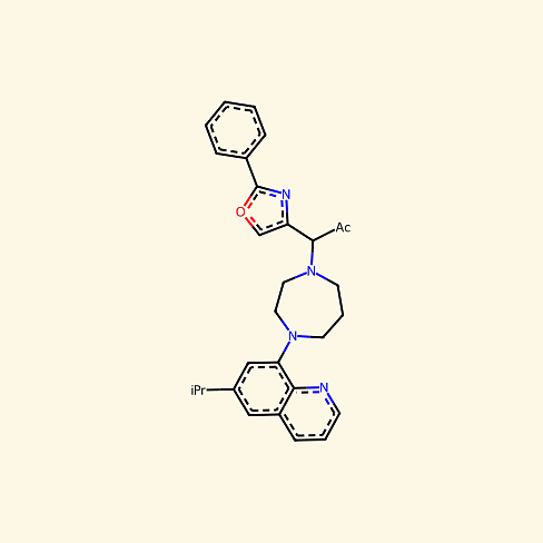 CC(=O)C(c1coc(-c2ccccc2)n1)N1CCCN(c2cc(C(C)C)cc3cccnc23)CC1